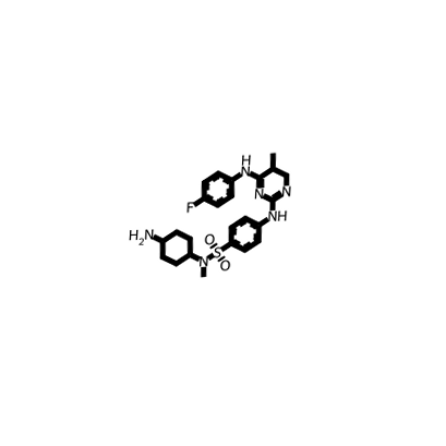 CC1CN=C(Nc2ccc(S(=O)(=O)N(C)C3CCC(N)CC3)cc2)N=C1Nc1ccc(F)cc1